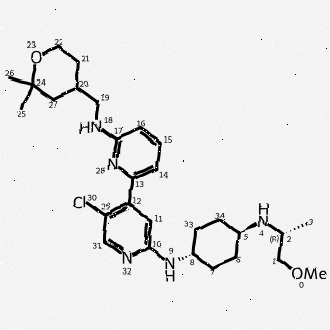 COC[C@@H](C)N[C@H]1CC[C@H](Nc2cc(-c3cccc(NCC4CCOC(C)(C)C4)n3)c(Cl)cn2)CC1